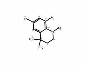 CCN1CCC(C)(C)c2cc(C(C)C)cc(C(C)=O)c21